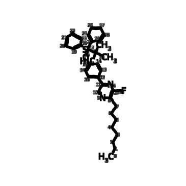 CCCCCCCCc1ncc(-c2ccc(O[Si](c3ccccc3)(c3ccccc3)C(C)(C)C)cc2)nc1F